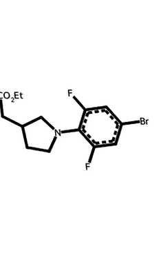 CCOC(=O)CC1CCN(c2c(F)cc(Br)cc2F)C1